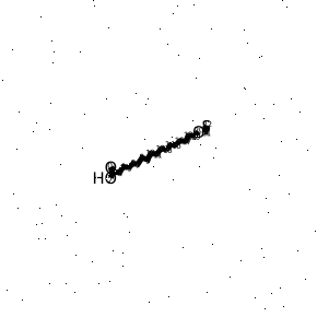 O=C(O)CCCCCCCCCCCCCCCCCOC=S